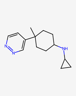 CC1(c2ccnnc2)CCC(NC2CC2)CC1